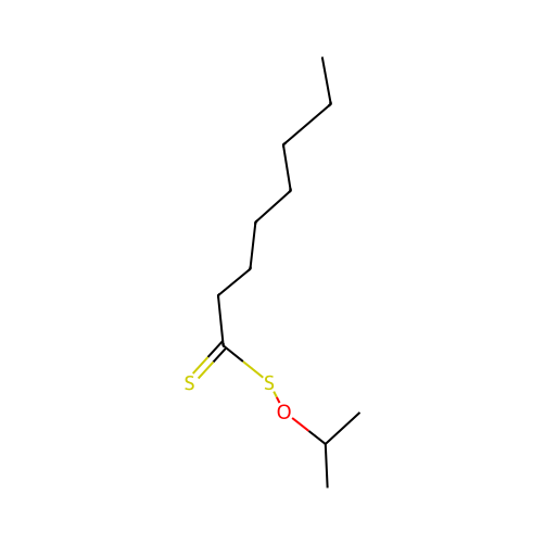 CCCCCCCC(=S)SOC(C)C